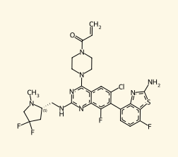 C=CC(=O)N1CCN(c2nc(NC[C@@H]3CC(F)(F)CN3C)nc3c(F)c(-c4ccc(F)c5sc(N)nc45)c(Cl)cc23)CC1